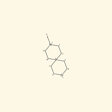 IN1CCC2(CCOCC2)CC1